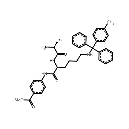 COC(=O)c1ccc(NC(=O)[C@H](CCCCNC(c2ccccc2)(c2ccccc2)c2ccc(C)cc2)NC(=O)[C@@H](N)C(C)C)cc1